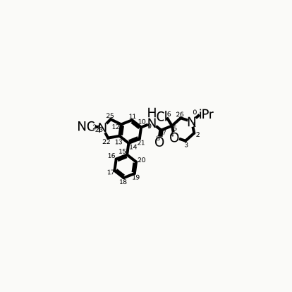 CC(C)N1CCOC(Cl)(C(=O)Nc2cc3c(c(-c4ccccc4)c2)CN(C#N)C3)C1